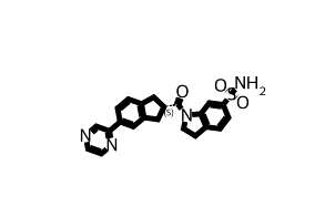 NS(=O)(=O)c1ccc2c(c1)N(C(=O)[C@H]1Cc3ccc(-c4cnccn4)cc3C1)CC2